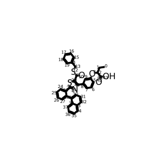 CCC(Oc1cccc2c1OC(SCc1ccccc1)c1sc(-c3ccccc3-c3cccc4ccccc34)nc1-2)C(=O)O